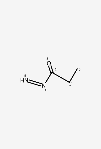 C[CH]C(=O)N=N